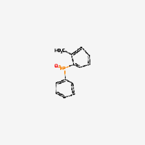 O=C(O)c1ccccc1[PH](=O)c1ccccc1